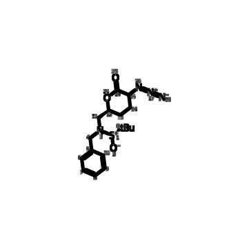 CC(C)(C)[S@@+]([O-])N(Cc1ccccc1)C[C@@H]1CCC(N=[N+]=[N-])C(=O)O1